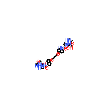 CC[C@H](NC(=O)[C@H](C)NC)C(=O)N1CCC[C@H]1C(=O)N[C@@H]1CCCc2c(OCCCCCOc3cccc4c3CCC[C@H]4NC(=O)[C@@H]3CCCN3C(O)[C@H](CC)NC(=O)[C@H](C)NC)cccc21